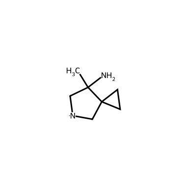 CC1(N)C[N]CC12CC2